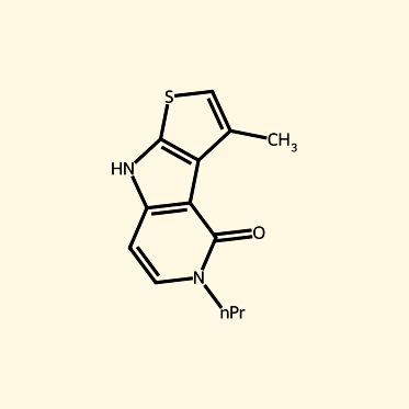 CCCn1ccc2[nH]c3scc(C)c3c2c1=O